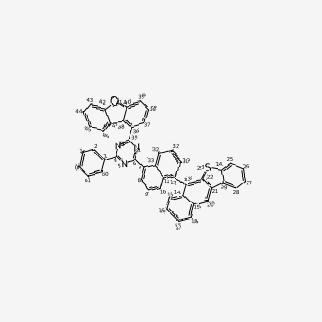 c1ccc(-c2nc(-c3cccc4c(-c5c6ccccc6cc6c5sc5ccccc56)cccc34)nc(-c3cccc4oc5ccccc5c34)n2)cc1